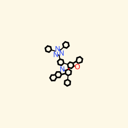 c1ccc(-c2nc(-c3ccccc3)nc(-c3ccc(-n4c5cc6ccccc6cc5c5c(-c6ccccc6)cccc54)c(-c4ccc5oc6ccccc6c5c4)c3)n2)cc1